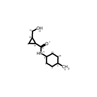 CC1CCC(NC(=O)C2CC2CO)CC1